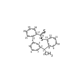 CC(c1ccccc1)c1ccccc1SC(=S)c1ccccc1